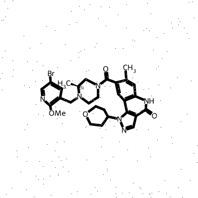 COc1ncc(Br)cc1CN1CCN(C(=O)c2cc3c(cc2C)[nH]c(=O)c2cnn(C4CCOCC4)c23)C[C@@H]1C